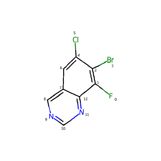 Fc1c(Br)c(Cl)cc2cncnc12